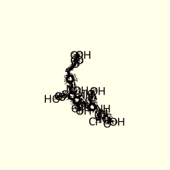 Nc1c(N=Nc2ccc(Nc3nc(Cl)nc(SC(=O)O)n3)cc2SOOO)c(S(=O)(=O)O)cc2cc(SOOO)c(N=Nc3ccc(SC#COOS(=O)(=O)O)cc3)c(O)c12